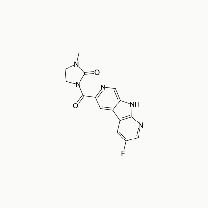 CN1CCN(C(=O)c2cc3c(cn2)[nH]c2ncc(F)cc23)C1=O